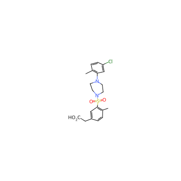 Cc1ccc(Cl)cc1N1CCN(S(=O)(=O)c2cc(CC(=O)O)ccc2C)CC1